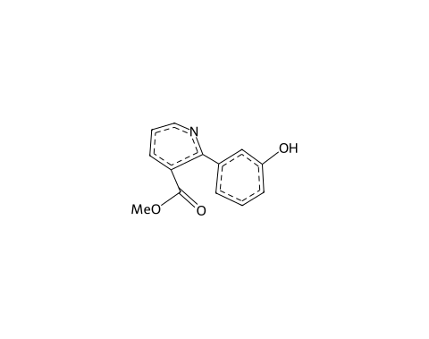 COC(=O)c1cccnc1-c1cccc(O)c1